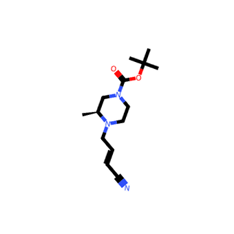 C[C@H]1CN(C(=O)OC(C)(C)C)CCN1CC=CC#N